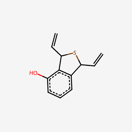 C=CC1SC(C=C)c2c(O)cccc21